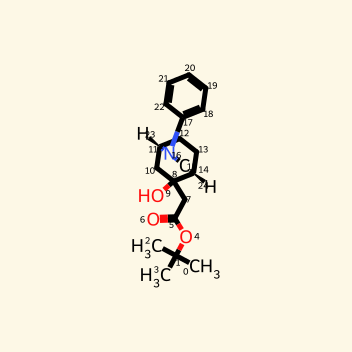 CC(C)(C)OC(=O)CC1(O)C[C@@H]2CC[C@H]1CN2c1ccccc1